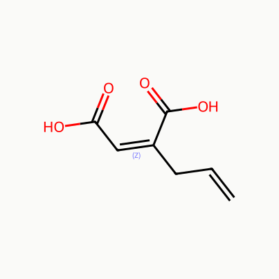 C=CC/C(=C/C(=O)O)C(=O)O